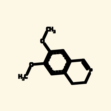 COc1cc2c(cc1OC)CCP=C2